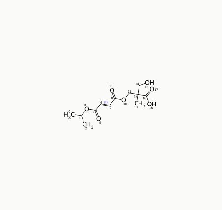 CC(C)OC(=O)/C=C/C(=O)OCC(C)(CO)C(=O)O